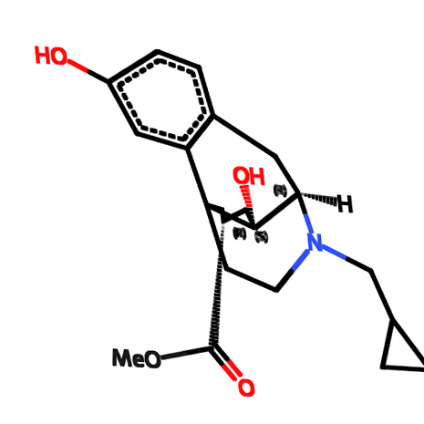 COC(=O)[C@@H]1CC23CCN(CC4CC4)[C@H](Cc4ccc(O)cc42)[C@]3(O)C1